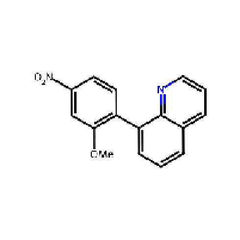 COc1cc([N+](=O)[O-])ccc1-c1cccc2cccnc12